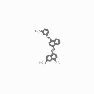 Nc1ccc(/N=N/c2ccc(/N=N/c3cccc(S(=O)(=O)O)c3)c3ccccc23)c2ccc(S(=O)(=O)O)cc12